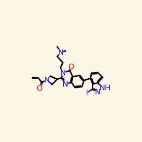 C=CC(=O)N1CC(c2nc3ccc(-c4cccc5[nH]nc(I)c45)cc3c(=O)n2CCCN(C)C)C1